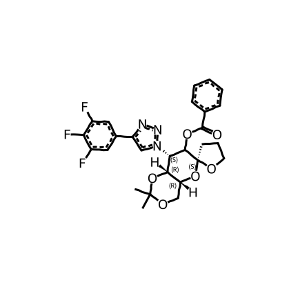 CC1(C)OC[C@H]2O[C@@]3(CCCO3)C(OC(=O)c3ccccc3)[C@@H](n3cc(-c4cc(F)c(F)c(F)c4)nn3)[C@H]2O1